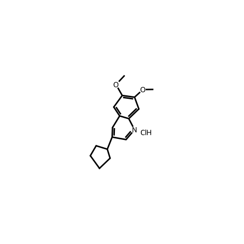 COc1cc2cc(C3CCCC3)cnc2cc1OC.Cl